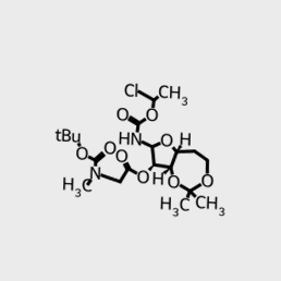 CC(Cl)OC(=O)NC1O[C@@H]2CCOC(C)(C)O[C@@H]2[C@H]1OC(=O)CN(C)C(=O)OC(C)(C)C